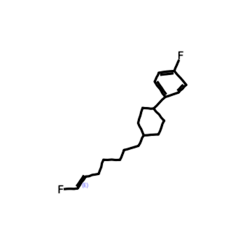 F/C=C/CCCCCC1CCC(c2ccc(F)cc2)CC1